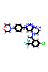 C[C@H](c1cc(Cl)ccc1C(F)(F)F)N1CCNc2nnc(-c3ccc(N4CCOCC4)cc3)cc21